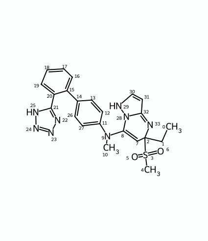 CCC1(S(C)(=O)=O)C=C(N(C)c2ccc(-c3ccccc3-c3nnn[nH]3)cc2)N2NC=CC2=N1